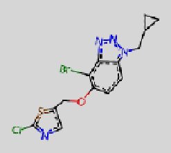 Clc1ncc(COc2ccc3c(nnn3CC3CC3)c2Br)s1